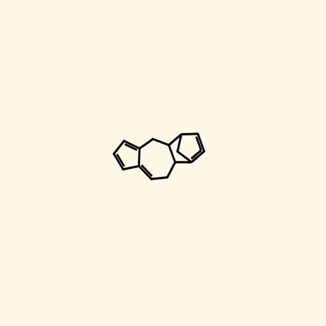 C1=CC2CC=1C1CC=C3C=CC=C3CC21